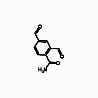 NC(=O)c1ccc(C=O)cc1C=O